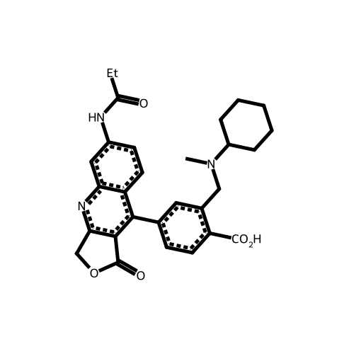 CCC(=O)Nc1ccc2c(-c3ccc(C(=O)O)c(CN(C)C4CCCCC4)c3)c3c(nc2c1)COC3=O